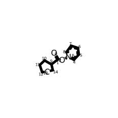 O=C(O[n+]1ccccc1)C1CCCCC1